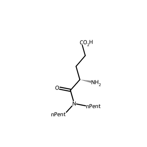 CCCCCN(CCCCC)C(=O)[C@@H](N)CCC(=O)O